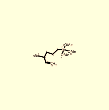 C=CC(CCCC)CCC[Si](OC)(OC)OC